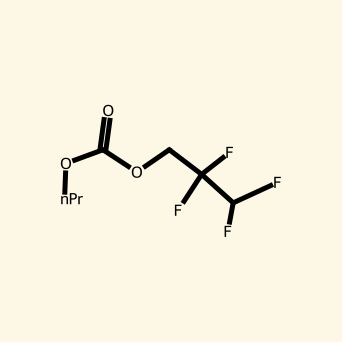 CCCOC(=O)OCC(F)(F)C(F)F